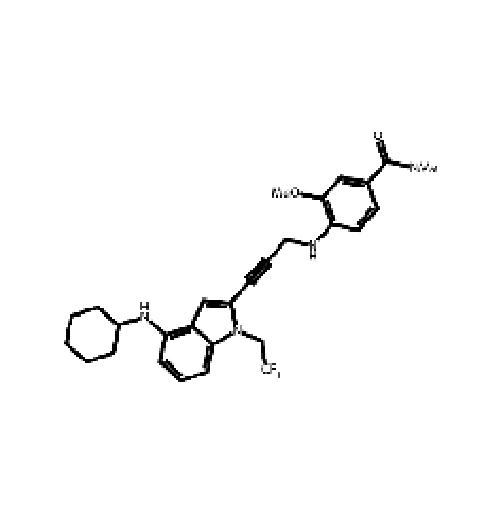 CNC(=O)c1ccc(NCC#Cc2cc3c(NC4CCCCC4)cccc3n2CC(F)(F)F)c(OC)c1